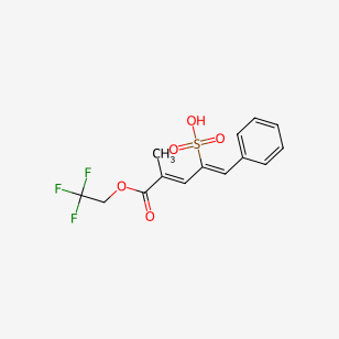 CC(=CC(=Cc1ccccc1)S(=O)(=O)O)C(=O)OCC(F)(F)F